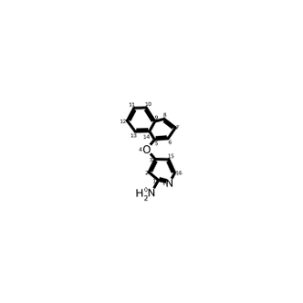 Nc1cc(Oc2cccc3ccccc23)ccn1